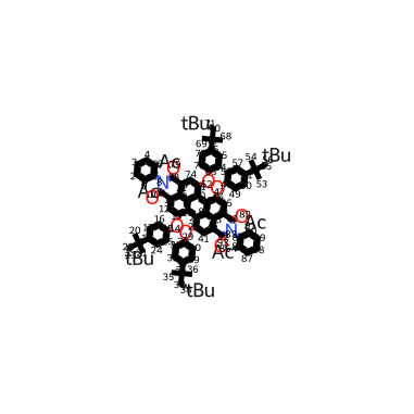 CC(=O)c1cccc(C(C)=O)c1N1C(=O)c2cc(Oc3ccc(C(C)(C)CC(C)(C)C)cc3)c3c4c(Oc5ccc(C(C)(C)CC(C)(C)C)cc5)cc5c6c(cc(Oc7ccc(C(C)(C)CC(C)(C)C)cc7)c(c7c(Oc8ccc(C(C)(C)CC(C)(C)C)cc8)cc(c2c37)C1=O)c64)C(=O)N(c1c(C(C)=O)cccc1C(C)=O)C5=O